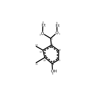 CCOC(OCC)c1ccc(O)c(C)c1C